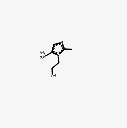 Cc1ncc([N+](=O)[O-])n1CCO.P